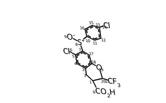 O=C(O)C1Cc2cc(Cl)c([S+]([O-])c3ccc(Cl)cc3)cc2OC1C(F)(F)F